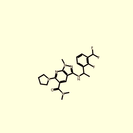 CC(Nc1nn(C)c2nc(N3CCCC3)c(C(=O)N(C)C)cc12)c1cccc(C(F)F)c1F